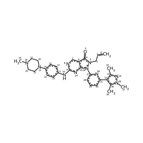 C=CCn1c(=O)c2cnc(Nc3ccc(N4CCN(C)CC4)cc3)nc2n1-c1cccc(-c2c(C)nn(C)c2C)n1